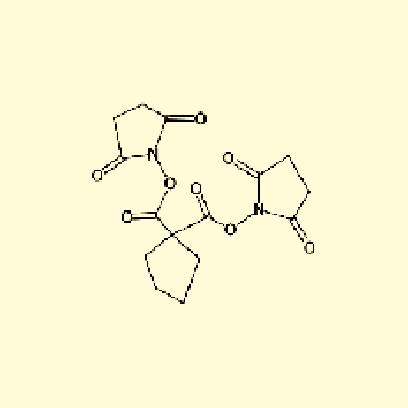 O=C1CCC(=O)N1OC(=O)C1(C(=O)ON2C(=O)CCC2=O)CCCC1